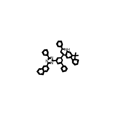 CC1(C)c2ccccc2-c2cc3c(cc21)NC(c1ccccc1)C=C3C1C=C(c2nc(-c3ccccc3)nc(-c3ccc4ccccc4c3)n2)C=C(c2ccccc2)C1